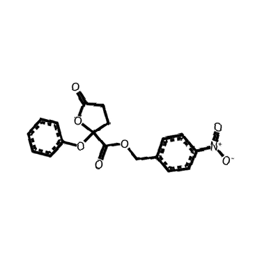 O=C1CCC(Oc2ccccc2)(C(=O)OCc2ccc([N+](=O)[O-])cc2)O1